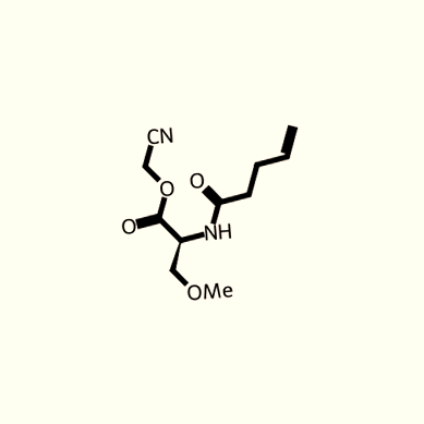 C=CCCC(=O)N[C@@H](COC)C(=O)OCC#N